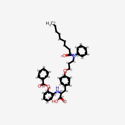 CCCCCCCCC(=O)N(CCCOc1ccc(CC(Nc2ccccc2OC(=O)c2ccccc2)C(=O)O)cc1)c1ccccc1